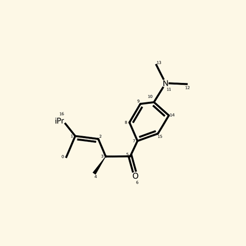 C/C(=C\[C@H](C)C(=O)c1ccc(N(C)C)cc1)C(C)C